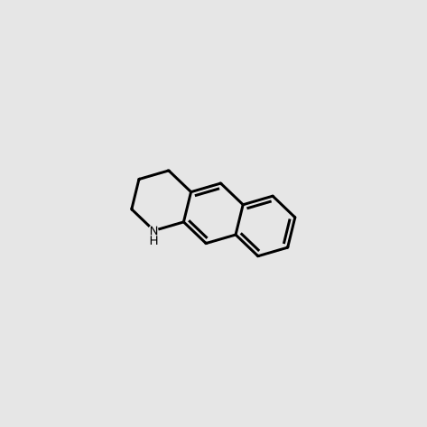 c1ccc2cc3c(cc2c1)CCCN3